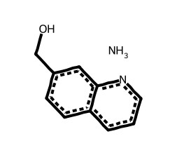 N.OCc1ccc2cccnc2c1